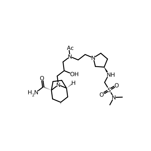 CC(=O)N(CCN1CC[C@@H](NCS(=O)(=O)N(C)C)C1)CC(O)CN1[C@@H]2C[CH]C[C@@]1(C(N)=O)CC2